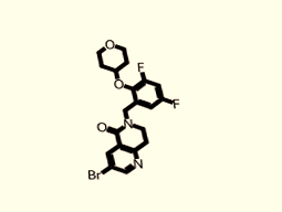 O=C1c2cc(Br)cnc2CCN1Cc1cc(F)cc(F)c1OC1CCOCC1